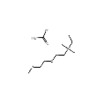 CC[N+](C)(C)CCOCCOC.O=C([O-])O